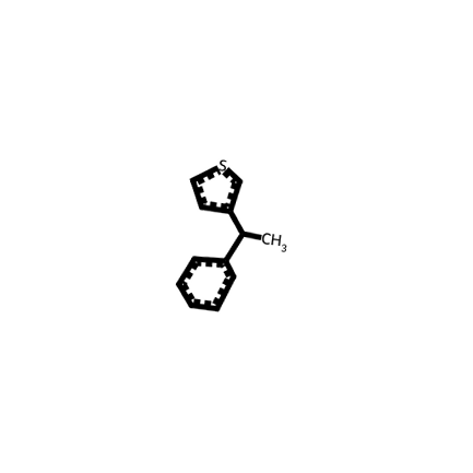 CC(c1ccccc1)c1ccsc1